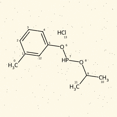 Cc1cccc(OPOC(C)C)c1.Cl